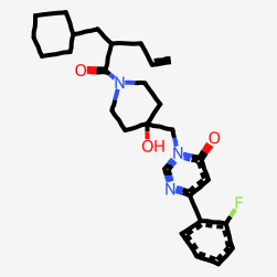 C=CCC(CC1CCCCC1)C(=O)N1CCC(O)(Cn2cnc(-c3ccccc3F)cc2=O)CC1